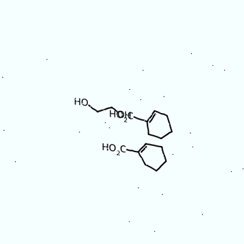 O=C(O)C1=CCCCC1.O=C(O)C1=CCCCC1.OCCO